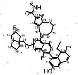 CCc1c(F)ccc2cc(O)cc(-c3ncc4c(N5CCCCC6N=C(C(=O)NC)C=C6C5)nc(OC[C@@]56CCCN5C[C@H](F)C6)nc4c3F)c12